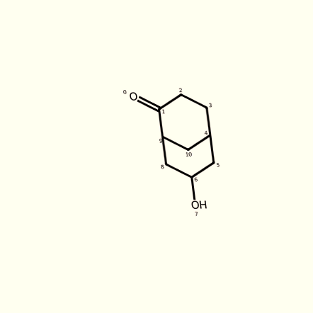 O=C1CCC2CC(O)CC1C2